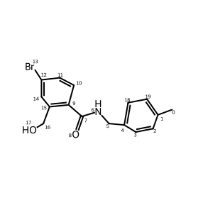 Cc1ccc(CNC(=O)c2ccc(Br)cc2CO)cc1